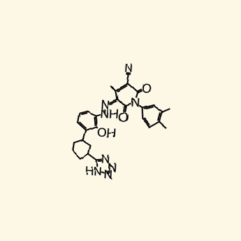 CC1=C(C#N)C(=O)N(c2ccc(C)c(C)c2)C(=O)/C1=N\Nc1cccc(C2CCCC(c3nnn[nH]3)C2)c1O